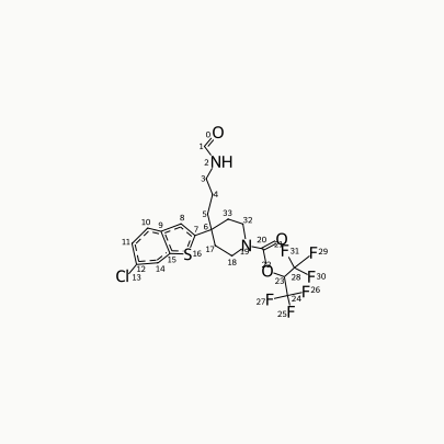 O=CNCCCC1(c2cc3ccc(Cl)cc3s2)CCN(C(=O)OC(C(F)(F)F)C(F)(F)F)CC1